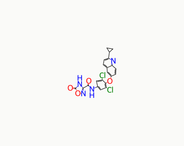 O=C(Nc1cc(Cl)c(Oc2ccc3nc(C4CC4)ccc3c2)c(Cl)c1)c1noc(=O)[nH]1